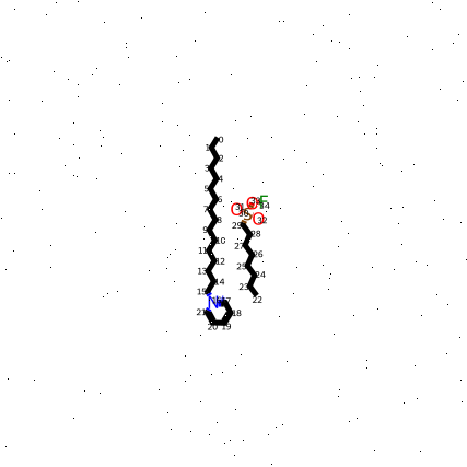 CCCCCCCCCCCCCCCC[n+]1ccccc1.CCCCCCCCS(=O)(=O)OF